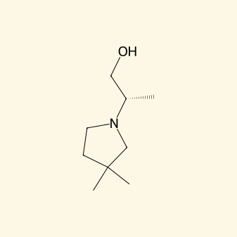 C[C@@H](CO)N1CCC(C)(C)C1